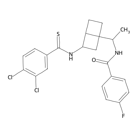 CC(NC(=O)c1ccc(F)cc1)C12CCC1C(NC(=S)c1ccc(Cl)c(Cl)c1)C2